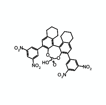 O=[N+]([O-])c1cc(-c2cc3c(c4c2OP(=O)(O)Oc2c(-c5cc([N+](=O)[O-])cc([N+](=O)[O-])c5)cc5c(c2-4)CCCC5)CCCC3)cc([N+](=O)[O-])c1